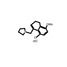 COc1ccc(Cl)c2c1CCC=C2CN1CCCC1.Cl